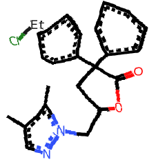 CCCl.Cc1cnn(CC2CC(c3ccccc3)(c3ccccc3)C(=O)O2)c1C